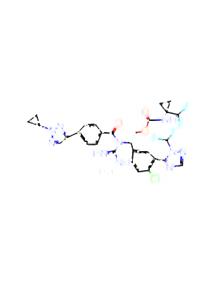 CNC(=N)N(C(=O)c1ccc(-c2cnn(C3CC3)n2)cc1)[C@H](COC(=O)NC1(C(F)F)CC1)c1ccc(Cl)c(-c2ncnn2C(F)F)c1